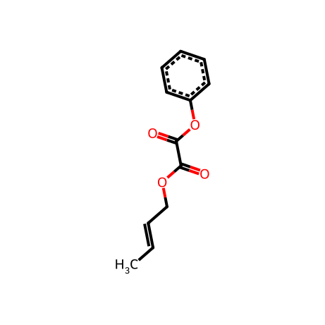 C/C=C/COC(=O)C(=O)Oc1ccccc1